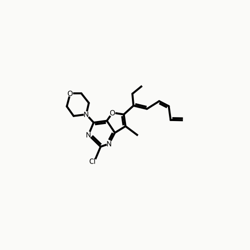 C=C/C=C\C=C(/CC)c1oc2c(N3CCOCC3)nc(Cl)nc2c1C